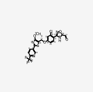 COc1nc(-c2ccc(C(F)(F)F)nc2)sc1COc1ccc(C2=NOC(C=O)N2)c(Cl)c1